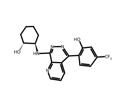 Oc1cc(C(F)(F)F)ccc1-c1nnc(N[C@@H]2CCCC[C@H]2O)c2ncccc12